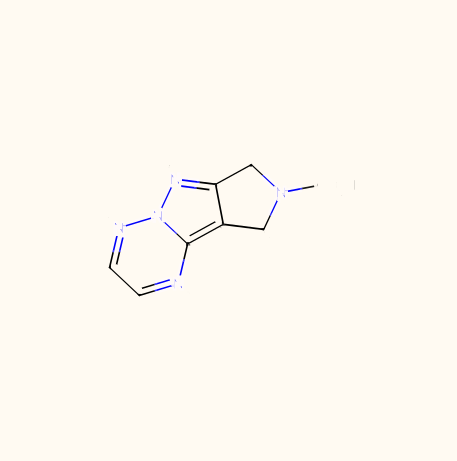 O=C(O)N1Cc2nn3nccnc3c2C1